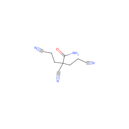 N#CCCC(C#N)(CCC#N)C(N)=O